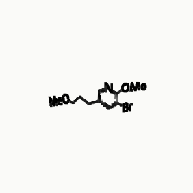 COCCCc1cnc(OC)c(Br)c1